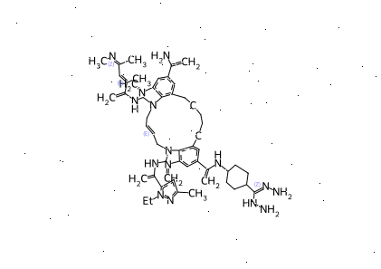 C=Nc1cc(C(=C)N)cc2c1N(CNC(=C)/C(C)=C/C(C)=N\C)C/C=C/CN(CNC(=C)c1cc(C)nn1CC)c1c(cc(C(=C)NC3CCC(/C(=N/N)NN)CC3)cc1N=C)CCCCC2